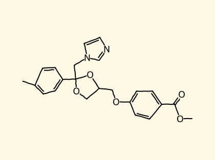 COC(=O)c1ccc(OCC2COC(Cn3ccnc3)(c3ccc(C)cc3)O2)cc1